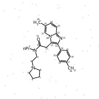 CCCN(CCN1CCCC1)C(=O)Cc1c(-c2ccc(C)cc2)nc2ccc(C)cn12